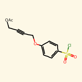 CC(=O)OCC#CCOc1ccc(S(=O)(=O)Cl)cc1